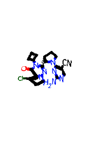 N#Cc1cnc(N)nc1N1CCC[C@H]1c1nn2ccc(Cl)c2c(=O)n1C1CCC1